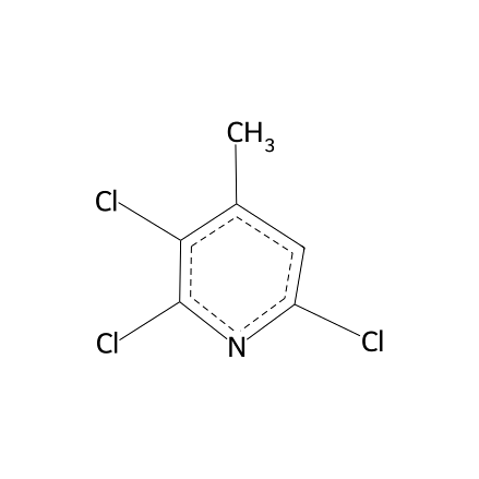 Cc1cc(Cl)nc(Cl)c1Cl